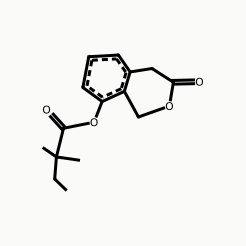 CCC(C)(C)C(=O)Oc1cccc2c1COC(=O)C2